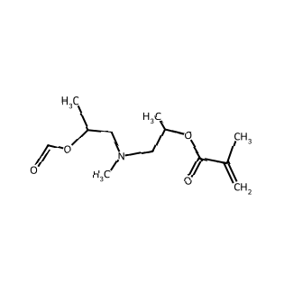 C=C(C)C(=O)OC(C)CN(C)CC(C)OC=O